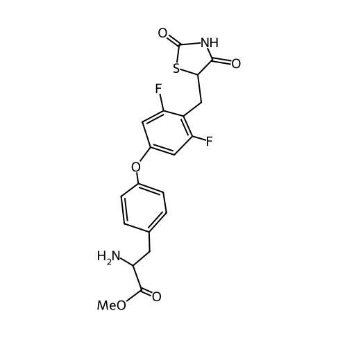 COC(=O)C(N)Cc1ccc(Oc2cc(F)c(CC3SC(=O)NC3=O)c(F)c2)cc1